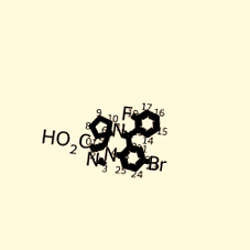 O=C(O)c1ncn2c1C1(CCCC1)N=C(c1ccccc1F)c1cc(Br)ccc1-2